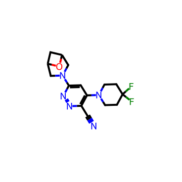 N#Cc1nnc(N2CC3CC(C2)O3)cc1N1CCC(F)(F)CC1